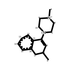 CC1C=C(N2CCN(C)CC2)c2ccccc2C1